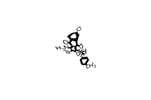 Cc1ccc(S(=O)(=O)Nc2cc(Br)c(N)c3c2C(=O)c2cc(Cl)ccc2C3=O)cc1